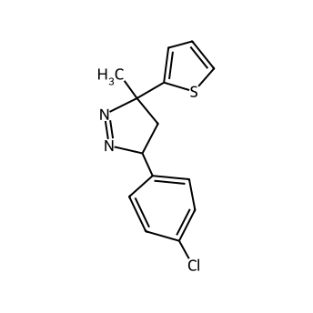 CC1(c2cccs2)CC(c2ccc(Cl)cc2)N=N1